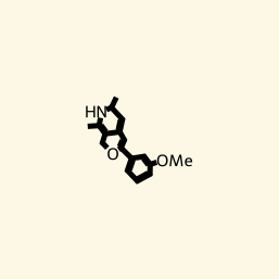 COc1cccc(C2=CC3=CC(C)NC(C)=C3CO2)c1